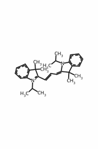 CC(C)N1C(=CC=CC2=[N+](C(C)C)c3ccccc3C2(C)C)C(C)(C)c2ccccc21